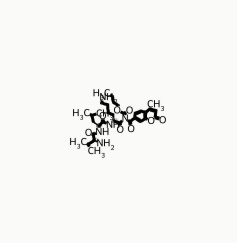 CCCCOC(=O)N(C(=O)c1ccc2c(C)cc(=O)oc2c1)C(=O)[C@H](CCCCN)NC(=O)[C@H](CC(C)C)NC(=O)[C@@H](N)C(C)C